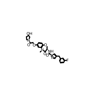 CN1C(=O)[C@@H](NC(=O)n2cc(Cc3cccc(F)c3)cn2)COc2ccc(OCC(=O)N3CC[C@@H](O)C3)cc21